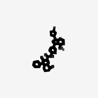 Nc1ncnc2c1c(-c1ccc(NC(=O)c3cc4c(n(-c5ccccc5)c3=O)CCCC4=O)nc1)cn2C1CCC(F)C1